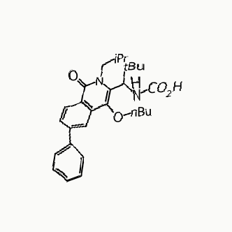 CCCCOc1c(C(NC(=O)O)C(C)(C)C)n(CC(C)C)c(=O)c2ccc(-c3ccccc3)cc12